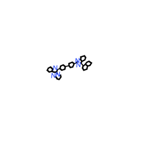 c1ccc2c(-c3nc(-c4ccc(-c5ccc(-c6nc7ccccc7c7nc8ccccn8c67)cc5)cc4)nc4ccccc34)cccc2c1